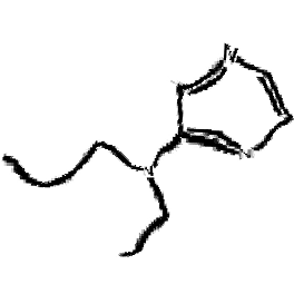 CCCN(CC)c1[c]nccn1